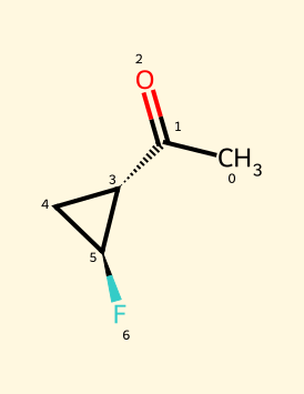 CC(=O)[C@H]1C[C@@H]1F